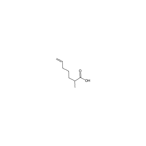 C=CCCCC(C)C(=O)O